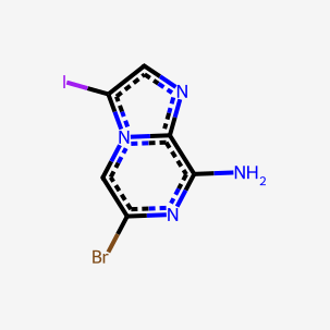 Nc1nc(Br)cn2c(I)cnc12